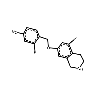 N#Cc1ccc(COc2cc(F)c3c(c2)CNCC3)c(F)c1